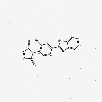 [2H]c1cc(-c2nc3ccccc3[nH]2)ccc1N1C(=O)C=CC1=O